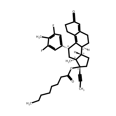 CC#C[C@]1(OC(=O)CCCCCCC)CC[C@H]2[C@@H]3CCC4=CC(=O)CCC4=C3[C@@H](c3cc(F)c(C)c(F)c3)C[C@@]21C